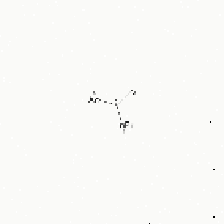 [CH2]C(=O)C(C)CCC